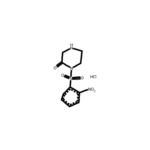 Cl.O=C1CNCCN1S(=O)(=O)c1ccccc1[N+](=O)[O-]